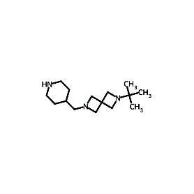 CC(C)(C)N1CC2(CN(CC3CCNCC3)C2)C1